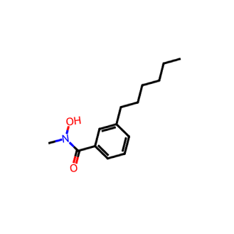 CCCCCCc1cccc(C(=O)N(C)O)c1